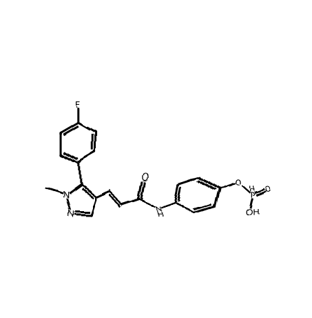 Cn1ncc(C=CC(=O)Nc2ccc(O[PH](=O)O)cc2)c1-c1ccc(F)cc1